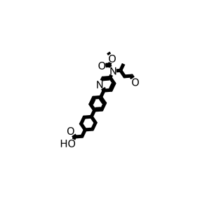 COC(=O)N(c1ccc(-c2ccc(C3CCC(CC(=O)O)CC3)cc2)nc1)C(C)CC=O